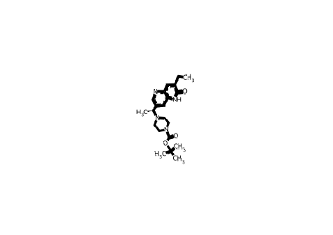 CCc1cc2ncc([C@H](C)N3CCN(C(=O)OC(C)(C)C)CC3)cc2[nH]c1=O